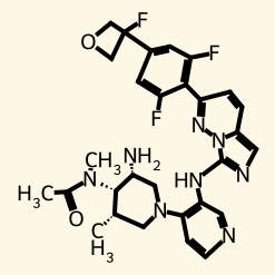 CC(=O)N(C)[C@@H]1[C@H](N)CN(c2ccncc2Nc2ncc3ccc(-c4c(F)cc(C5(F)COC5)cc4F)nn23)C[C@@H]1C